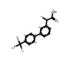 O=C(O)C(I)c1cccc(-c2ccc(C(F)(F)F)cc2)c1